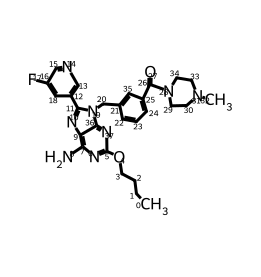 CCCCOc1nc(N)c2nc(-c3cncc(F)c3)n(Cc3cccc(C(=O)N4CCN(C)CC4)c3)c2n1